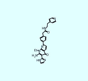 CCn1c(N)c(-c2ncc[nH]2)c(=O)c2ccc(-c3ccc(CC(=O)NCCc4ccncc4)cc3)nc21